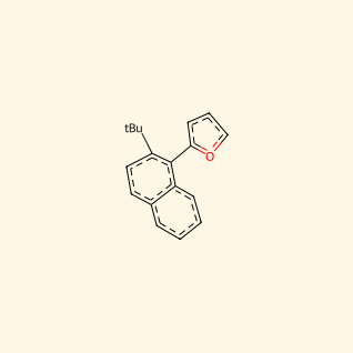 CC(C)(C)c1ccc2ccccc2c1-c1ccco1